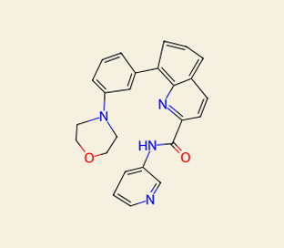 O=C(Nc1cccnc1)c1ccc2cccc(-c3cccc(N4CCOCC4)c3)c2n1